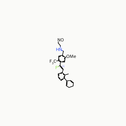 COc1cc(/C(F)=C/c2cccc(C3=CCCC=C3)c2C)c(C(F)(F)F)cc1CNCCN=O